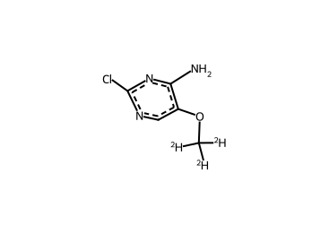 [2H]C([2H])([2H])Oc1cnc(Cl)nc1N